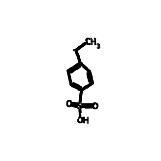 C[CH]c1ccc(S(=O)(=O)O)cc1